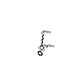 CCCCCCCCCCOC[C@]1(CCCCCCOCCCCC)CO[C@H](c2ccccc2)OC1